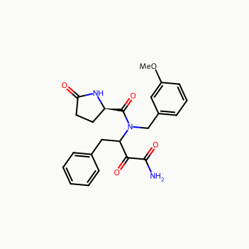 COc1cccc(CN(C(=O)[C@H]2CCC(=O)N2)C(Cc2ccccc2)C(=O)C(N)=O)c1